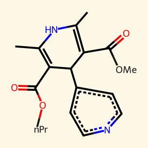 CCCOC(=O)C1=C(C)NC(C)=C(C(=O)OC)C1c1ccncc1